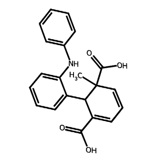 CC1(C(=O)O)C=CC=C(C(=O)O)C1c1ccccc1Nc1ccccc1